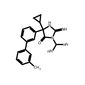 CCCC(CCC)N1C(=N)NC(c2cccc(-c3cccc(C)c3)c2)(C2CC2)C1=O